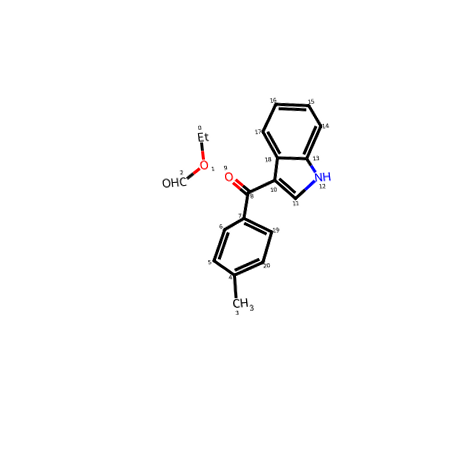 CCOC=O.Cc1ccc(C(=O)c2c[nH]c3ccccc23)cc1